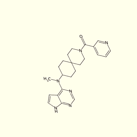 CN(c1ncnc2[nH]ccc12)C1CCC2(CC1)CCN(C(=O)c1cccnc1)CC2